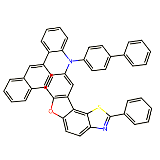 c1ccc(-c2ccc(N(c3ccc4oc5ccc6nc(-c7ccccc7)sc6c5c4c3)c3ccccc3-c3ccc4ccccc4c3)cc2)cc1